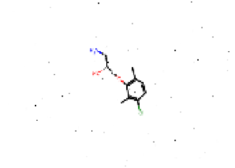 Cc1ccc(Cl)c(C)c1OC[C@H](O)CN